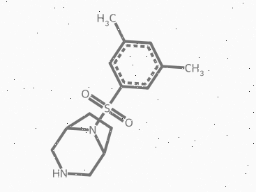 Cc1cc(C)cc(S(=O)(=O)N2C3CCC2CNC3)c1